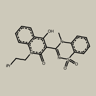 CC(C)CCn1c(=O)c(C2=NS(=O)(=O)c3ccccc3N2C)c(O)c2ccccc21